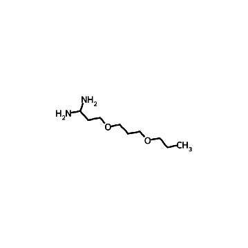 CCCOCCCOCCC(N)N